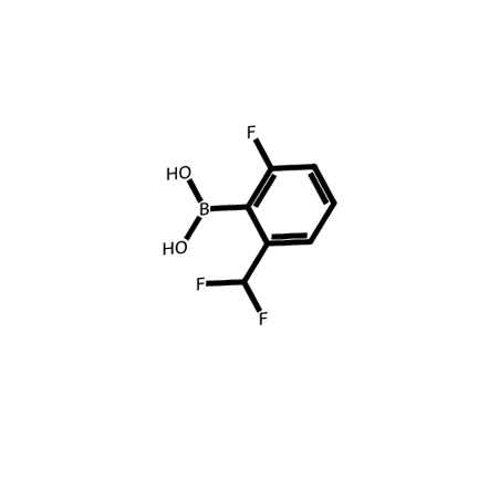 OB(O)c1c(F)cccc1C(F)F